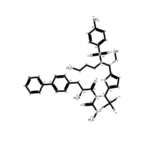 CCCCN([C@H](CO)c1ccc([C@@H](N(C(=O)OC)C(=O)[C@@H](N)Cc2ccc(-c3ccccc3)cc2)C(F)(F)F)s1)S(=O)(=O)c1ccc(N)cc1